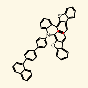 c1ccc(N(c2ccc(-c3ccc(-c4cccc5ccccc45)cc3)cc2)c2cccc3c2oc2ccccc23)c(-c2cccc3c2sc2ccccc23)c1